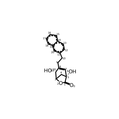 O=C1OC2C[C@@]1(O)C=C(CCc1ccc3ccccc3c1)[C@H]2O